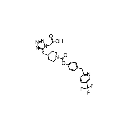 O=C(O)Cn1nnnc1SC1CCN(C(=O)Oc2ccc(Cc3ccc(C(F)(F)F)cn3)cc2)CC1